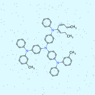 C=C/C=C\C(=C/CC)N(c1ccccc1)c1ccc(N(c2ccc(N(c3ccccc3)c3cccc(C)c3)cc2)c2ccc(N(c3ccccc3)c3cccc(C)c3)cc2)cc1